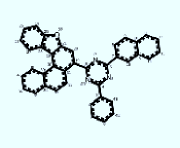 c1ccc(-c2nc(-c3ccc4ccccc4c3)nc(-c3cc4oc5ccccc5c4c4c3ccc3ccccc34)n2)cc1